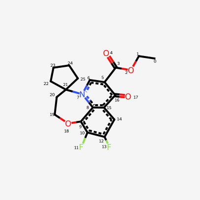 CCOC(=O)c1cn2c3c(c(F)c(F)cc3c1=O)OCCC21CCCC1